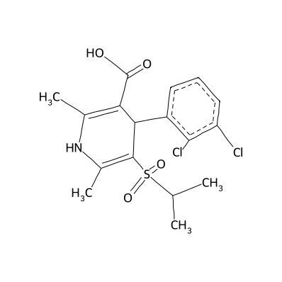 CC1=C(C(=O)O)C(c2cccc(Cl)c2Cl)C(S(=O)(=O)C(C)C)=C(C)N1